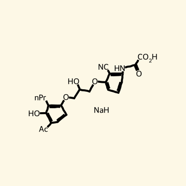 CCCc1c(OCC(O)COc2cccc(NC(=O)C(=O)O)c2C#N)ccc(C(C)=O)c1O.[NaH]